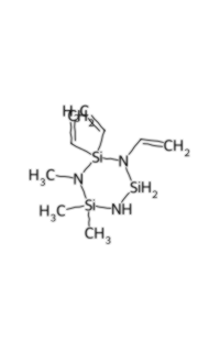 C=CN1[SiH2]N[Si](C)(C)N(C)[Si]1(C=C)C=C